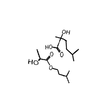 CC(C)CCC(C)(O)C(=O)O.CC(C)CCOC(=O)C(C)O